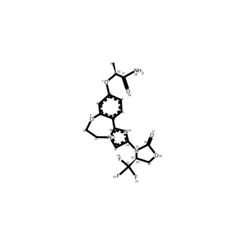 C[C@H](Oc1ccc2c(c1)OCCn1cc(N3C(=O)OC[C@H]3C(F)(F)F)nc1-2)C(N)=O